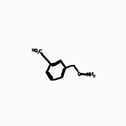 NOCc1cccc(C(=O)O)c1